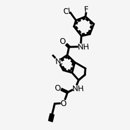 C#CCOC(=O)NC1CCc2c1cn(C)c2C(=O)Nc1ccc(F)c(Cl)c1